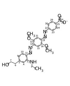 CCNc1cc(CCO)ccc1N=Nc1cc(OC)c(N=Nc2ccc([N+](=O)[O-])cc2)cc1OC